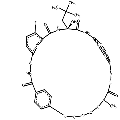 CN1CCCCOc2ccc(cc2)C(=O)NCc2ccc(F)c(c2)C(=O)N[C@](O)(CC(C)(C)C)C(=O)Nc2ccc(cc2)CCC1=O